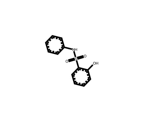 O=S(=O)(Nc1ccccc1)c1ccccc1O